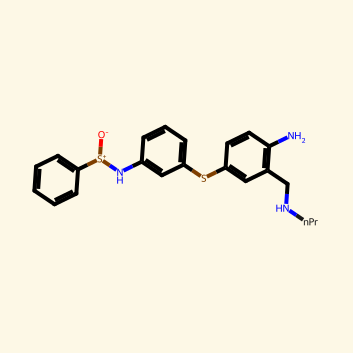 CCCNCc1cc(Sc2cccc(N[S+]([O-])c3ccccc3)c2)ccc1N